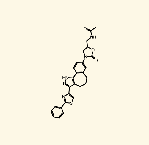 CC(=O)NCC1CN(c2ccc3c(c2)CCCc2c(-c4csc(-c5ccccc5)n4)n[nH]c2-3)C(=O)O1